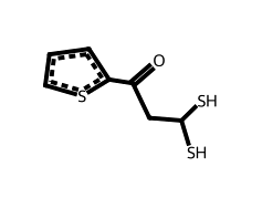 O=C(CC(S)S)c1cccs1